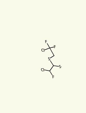 FC(Cl)C([S])SCC(F)(F)Cl